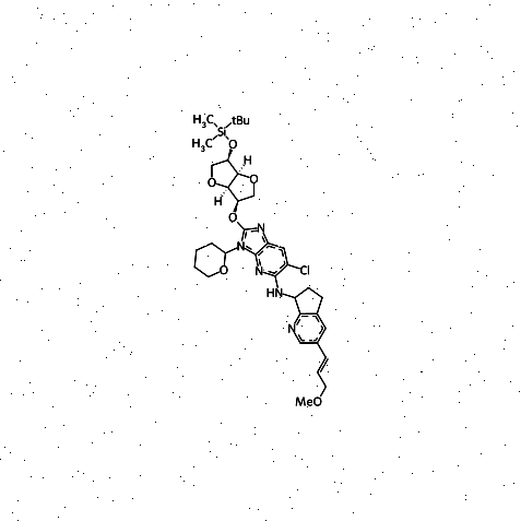 COC/C=C/c1cnc2c(c1)CCC2Nc1nc2c(cc1Cl)nc(O[C@@H]1CO[C@H]3[C@@H]1OC[C@H]3O[Si](C)(C)C(C)(C)C)n2C1CCCCO1